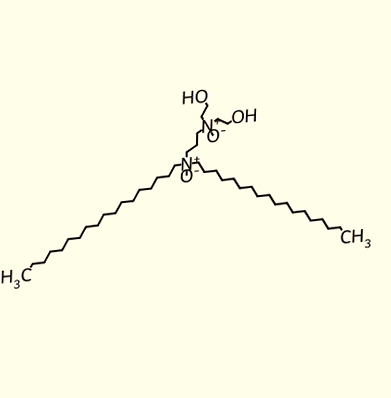 CCCCCCCCCCCCCCCCCC[N+]([O-])(CCCCCCCCCCCCCCCCCC)CCC[N+]([O-])(CCO)CCO